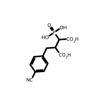 N#Cc1ccc(CC(C(=O)O)C(C(=O)O)P(=O)(O)O)cc1